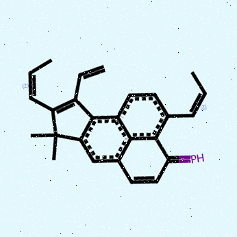 C=CC1=C(/C=C\C)C(C)(C)c2cc3c4c(c(/C=C\C)ccc4c21)C(=P)C=C3